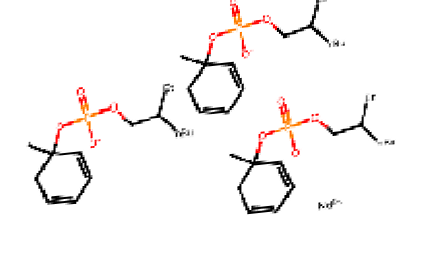 CCCCC(CC)COP(=O)([O-])OC1(C)C=CC=CC1.CCCCC(CC)COP(=O)([O-])OC1(C)C=CC=CC1.CCCCC(CC)COP(=O)([O-])OC1(C)C=CC=CC1.[Nd+3]